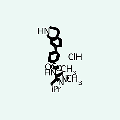 Cc1c(NS(=O)(=O)c2ccc(-c3ccc4c(c3)CNCCC4)cc2)c(CC(C)C)nn1C.Cl